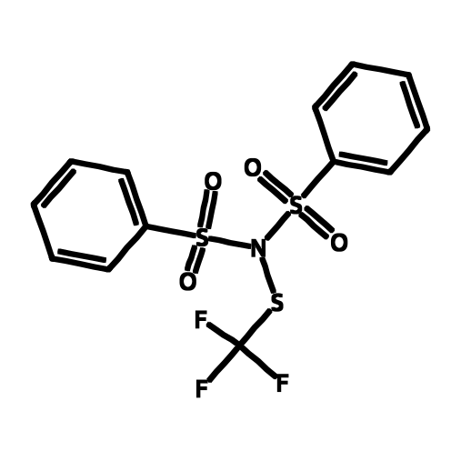 O=S(=O)(c1ccccc1)N(SC(F)(F)F)S(=O)(=O)c1ccccc1